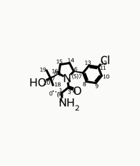 C[C@@H](N)C(=O)N1[C@H](c2cccc(Cl)c2)CC[C@@H]1C(C)(C)O